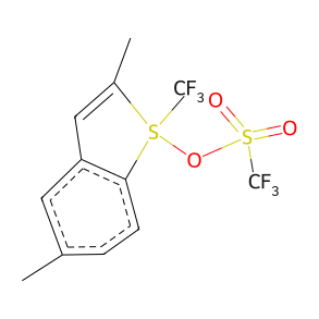 CC1=Cc2cc(C)ccc2S1(OS(=O)(=O)C(F)(F)F)C(F)(F)F